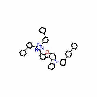 C1=CC2C(c3ccccc3N2c2cccc(-c3ccc(-c4ccccc4)cc3)c2)c2c1oc1c(-c3nc(-c4cccc(-c5ccccc5)c4)nc(-c4cccc(-c5ccccc5)c4)n3)cccc21